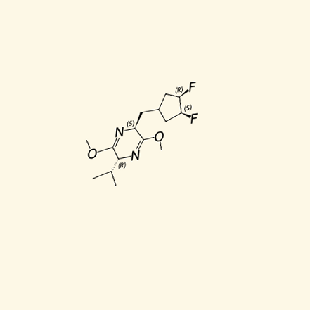 COC1=N[C@H](C(C)C)C(OC)=N[C@H]1CC1C[C@@H](F)[C@@H](F)C1